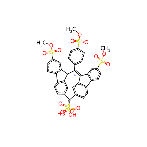 COS(=O)(=O)c1ccc(/C(=C2/c3cc(CS(=O)(=O)O)ccc3-c3ccc(S(=O)(=O)OC)cc32)C2c3cc(CS(=O)(=O)O)ccc3-c3ccc(S(=O)(=O)OC)cc32)cc1